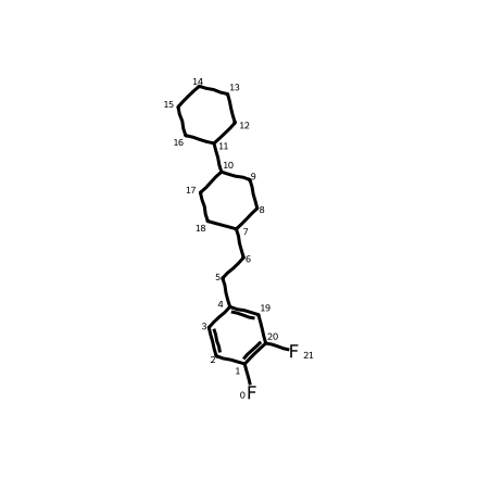 Fc1ccc(CCC2CCC(C3CCCCC3)CC2)cc1F